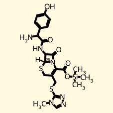 Cn1cnnc1SCC1=C(C(=O)O[Si](C)(C)C)N2C(=O)C(NC(=O)C(N)c3ccc(O)cc3)[C@H]2SC1